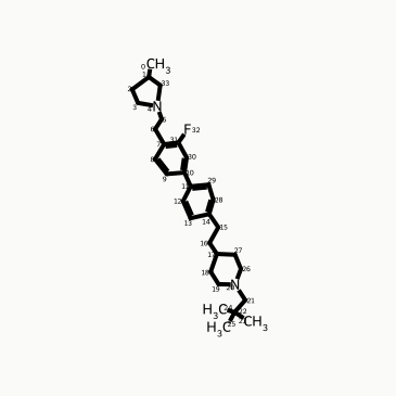 CC1CCN(CCc2ccc(-c3ccc(CCC4CCN(CC(C)(C)C)CC4)cc3)cc2F)C1